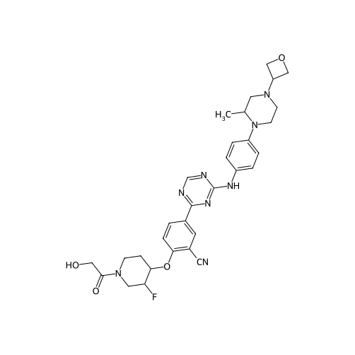 CC1CN(C2COC2)CCN1c1ccc(Nc2ncnc(-c3ccc(OC4CCN(C(=O)CO)CC4F)c(C#N)c3)n2)cc1